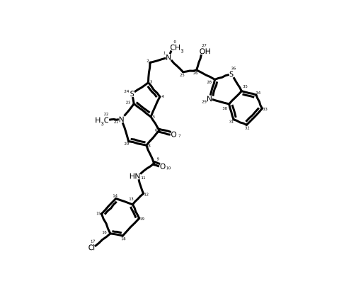 CN(Cc1cc2c(=O)c(C(=O)NCc3ccc(Cl)cc3)cn(C)c2s1)CC(O)c1nc2ccccc2s1